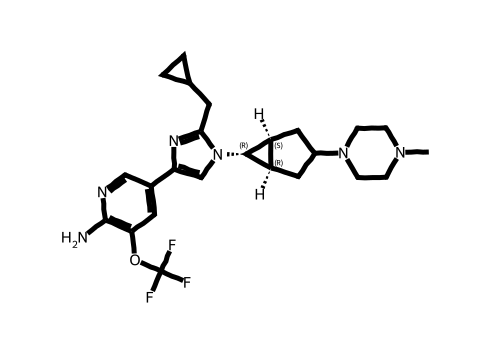 CN1CCN(C2C[C@@H]3[C@H](C2)[C@H]3n2cc(-c3cnc(N)c(OC(F)(F)F)c3)nc2CC2CC2)CC1